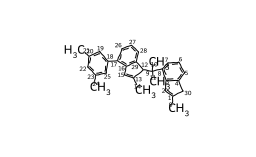 CC1=Cc2c(cccc2C(C)(C)C2C(C)=Cc3c(-c4cc(C)cc(C)c4)cccc32)C1